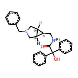 CCN(C[C@H]1[C@@H]2CN(Cc3ccccc3)C[C@@H]21)C(=O)C(O)(c1ccccc1)c1ccccc1